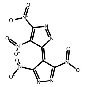 O=[N+]([O-])C1=NN=C([N+](=O)[O-])C1=C1N=NC([N+](=O)[O-])=C1[N+](=O)[O-]